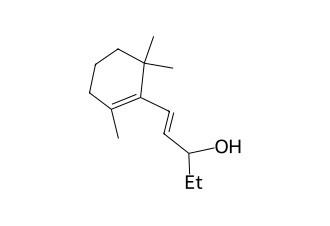 CCC(O)C=CC1=C(C)CCCC1(C)C